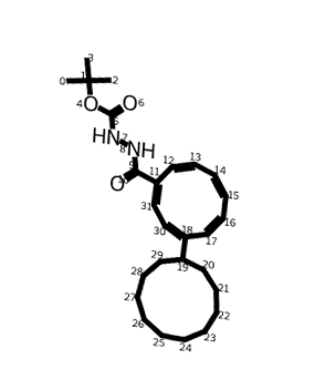 CC(C)(C)OC(=O)NNC(=O)c1ccccccc(C2CCCCCCCCCC2)cc1